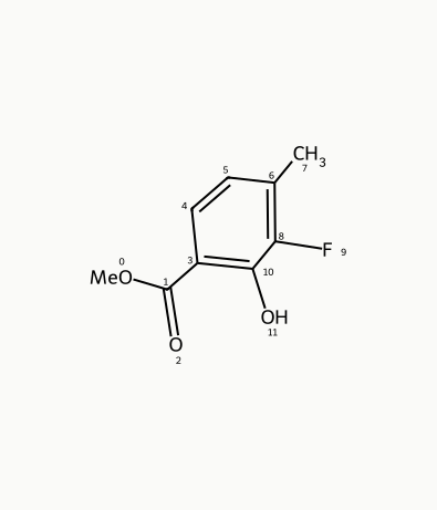 COC(=O)c1ccc(C)c(F)c1O